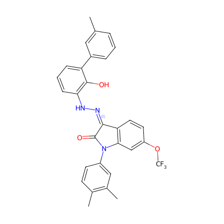 Cc1cccc(-c2cccc(N/N=C3\C(=O)N(c4ccc(C)c(C)c4)c4cc(OC(F)(F)F)ccc43)c2O)c1